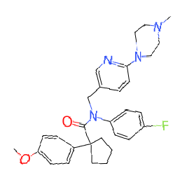 COc1ccc(C2(C(=O)N(Cc3ccc(N4CCN(C)CC4)nc3)c3ccc(F)cc3)CCCC2)cc1